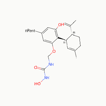 C=C(C)[C@@H]1CCC(C)=C[C@H]1c1c(O)cc(CCCCC)cc1OCNC(=O)NO